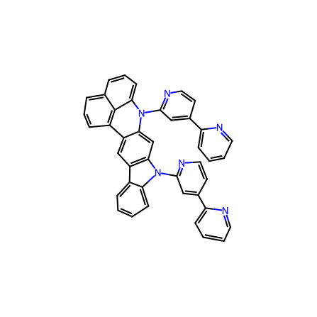 c1ccc(-c2ccnc(N3c4cc5c(cc4-c4cccc6cccc3c46)c3ccccc3n5-c3cc(-c4ccccn4)ccn3)c2)nc1